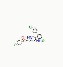 [O-][S+](CCCC1Cc2[nH]c3c(Br)ccc(-c4ccc(Cl)cc4)c3c2CN1)c1ccc(F)cc1